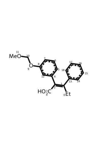 CCC(=C(C(=O)O)c1cccc(OCOC)c1)c1ccccc1